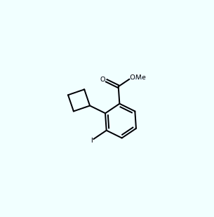 COC(=O)c1cccc(I)c1C1CCC1